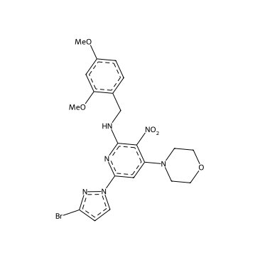 COc1ccc(CNc2nc(-n3ccc(Br)n3)cc(N3CCOCC3)c2[N+](=O)[O-])c(OC)c1